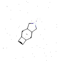 CN1CC2C3CCC(C4C=CC43)C2C1